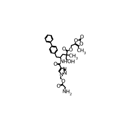 Cc1oc(=O)oc1COC(=O)C(C)(CO)CC(Cc1ccc(-c2ccccc2)cc1)NC(=O)c1cn(COC(=O)CN)nn1